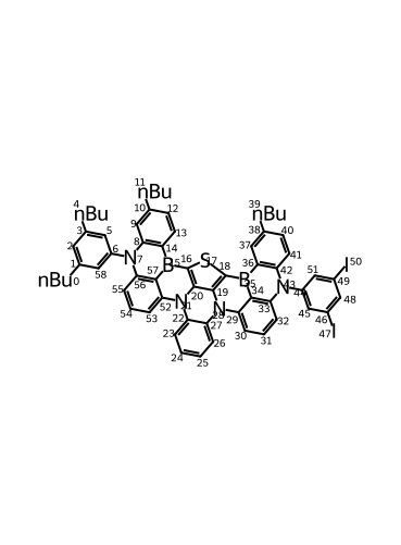 CCCCc1cc(CCCC)cc(N2c3cc(CCCC)ccc3B3c4sc5c6c4N(c4ccccc4N6c4cccc6c4B5c4cc(CCCC)ccc4N6c4cc(I)cc(I)c4)c4cccc2c43)c1